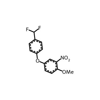 COc1ccc(Oc2ccc(C(F)F)cc2)cc1[N+](=O)[O-]